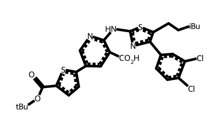 CCC(C)CCc1sc(Nc2ncc(-c3ccc(C(=O)OC(C)(C)C)s3)cc2C(=O)O)nc1-c1ccc(Cl)c(Cl)c1